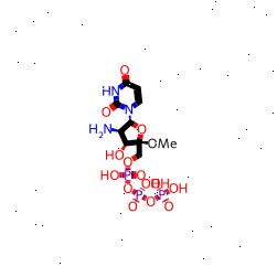 CO[C@]1(COP(=O)(O)OP(=O)(O)OP(=O)(O)O)O[C@@H](n2ccc(=O)[nH]c2=O)[C@H](N)[C@@H]1O